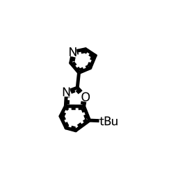 CC(C)(C)c1cccc2nc(-c3cccnc3)oc12